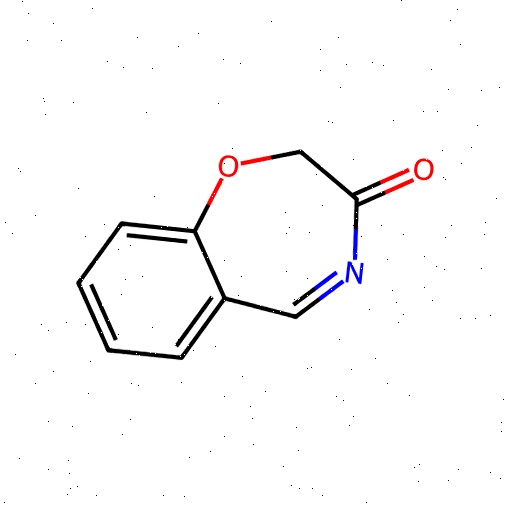 O=C1COc2ccccc2C=N1